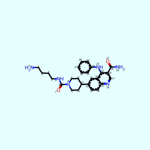 NCCCCNC(=O)N1CCC(c2ccc3ncc(C(N)=O)c(Nc4ccccc4)c3c2)CC1